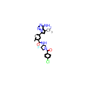 Cc1ccc(-c2cc(C(F)(F)F)c3c(N)ncnn23)cc1C(=O)N[C@@H]1CN(C(=O)c2ccc(Cl)cc2)C[C@@H]1F